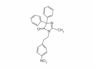 CC1=NC(c2ccccc2)(c2ccccc2)C(=O)N1CCc1ccc([N+](=O)[O-])cc1